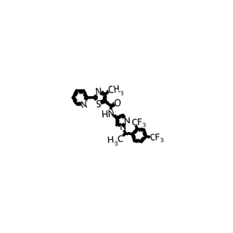 Cc1nc(-c2ccccn2)sc1C(=O)Nc1cnn(C(C)c2ccc(C(F)(F)F)cc2C(F)(F)F)c1